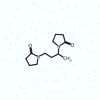 CC(CCN1CCCC1=O)N1CCCC1=O